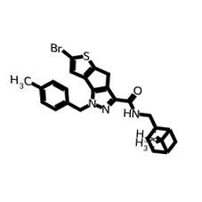 Cc1ccc(Cn2nc(C(=O)NCC3CCC4CC3C4(C)C)c3c2-c2cc(Br)sc2C3)cc1